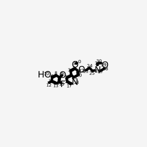 COc1cc2c(Oc3cc(O)c(C)cc3F)ccnc2cc1OCCCN1CCOCC1